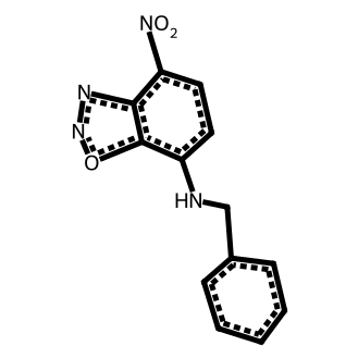 O=[N+]([O-])c1ccc(NCc2ccccc2)c2onnc12